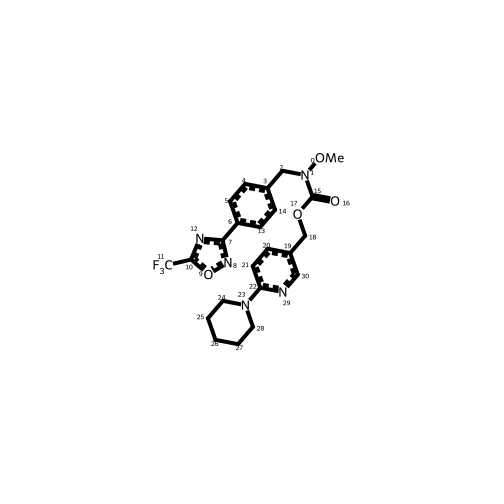 CON(Cc1ccc(-c2noc(C(F)(F)F)n2)cc1)C(=O)OCc1ccc(N2CCCCC2)nc1